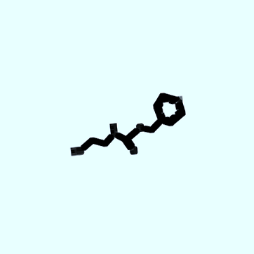 O=C(NCCO)OCc1ccncc1